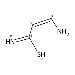 N=C(S)/C=C\N